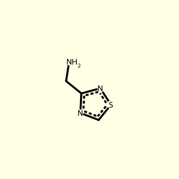 NCc1ncsn1